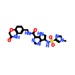 Cn1cnc(S(=O)(=O)Nc2c[nH]c3c(C(=O)NCc4ccc5c(c4)NC(=O)CO5)ncnc23)c1